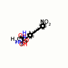 C[C@@H](O)[C@H](NC(=O)c1ccc(C#CC#Cc2cccc([N+](=O)[O-])c2)cc1)C(=O)NO